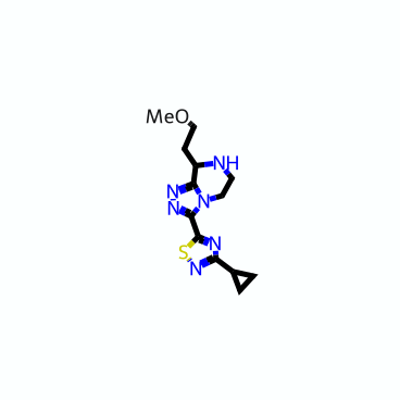 COCCC1NCCn2c(-c3nc(C4CC4)ns3)nnc21